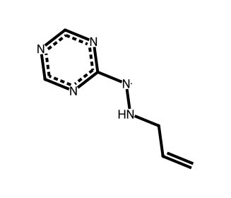 C=CCN[N]c1ncncn1